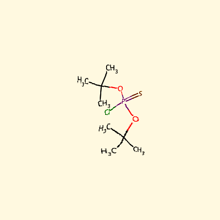 CC(C)(C)OP(=S)(Cl)OC(C)(C)C